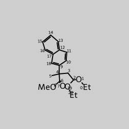 CCOC(CC(C)(C(=O)OC)c1ccc2ccccc2c1)OCC